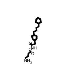 NCCCC(=O)ONC(=O)Cc1ccc(CCCCc2ccccc2)cc1